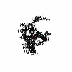 CCCCCOc1ccc(S(=O)(=O)NCCCCNCc2c(O)cc3c(c2O)-c2cc(ccc2O)[C@H]2NC(=O)[C@@H]4NC(=O)[C@H](CC(N)=O)NC(=O)[C@H](NC(=O)[C@@H](CC(C)C)NC)[C@H](O)c5ccc(c(C)c5)Oc5cc4cc(c5O[C@@H]4O[C@H](CO)[C@@H](O)[C@H](O)[C@H]4O[C@H]4C[C@](C)(N)[C@H](O)[C@H](C)O4)Oc4ccc(cc4Cl)[C@@H](O)[C@H](NC2=O)C(=O)N[C@@H]3C(=O)O)cc1